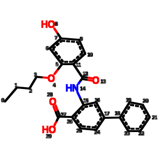 CCCCOc1cc(O)ccc1C(=O)Nc1cc(-c2ccccc2)ccc1C(=O)O